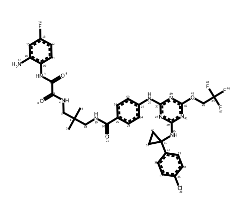 CC(C)(CNC(=O)C(=O)Nc1ccc(F)cc1N)CNC(=O)c1ccc(Nc2nc(NC3(c4ccc(Cl)cc4)CC3)nc(OCC(F)(F)F)n2)cc1